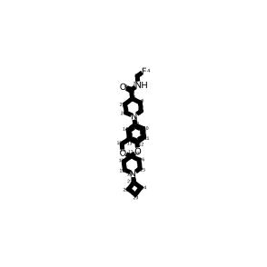 O=C(NCF)C1CCN(c2ccc3c(c2)COC2(CCN(C4CCC4)CC2)O3)CC1